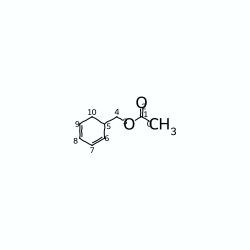 CC(=O)OCC1C=CC=CC1